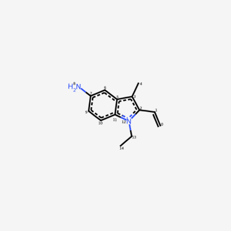 C=Cc1c(C)c2cc(N)ccc2n1CC